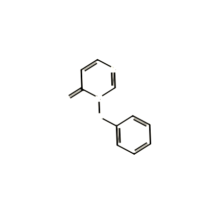 O=c1ccncn1Sc1ccccc1